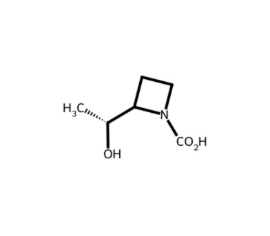 C[C@@H](O)C1CCN1C(=O)O